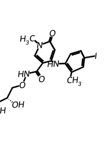 Cc1cc(I)ccc1Nc1cc(=O)n(C)cc1C(=O)NOC[C@H](O)CO